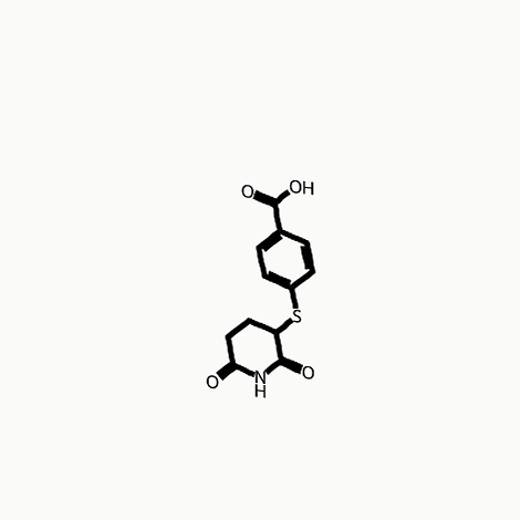 O=C1CCC(Sc2ccc(C(=O)O)cc2)C(=O)N1